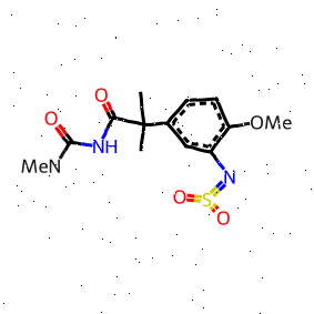 CNC(=O)NC(=O)C(C)(C)c1ccc(OC)c(N=S(=O)=O)c1